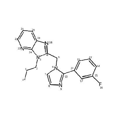 CCCn1c(Cn2ccnc2-c2cccc(F)c2)nc2cccnc21